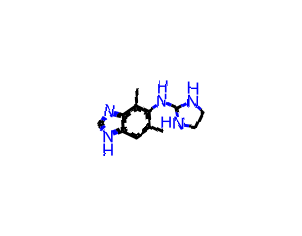 Cc1cc2[nH]cnc2c(C)c1NC1NCCN1